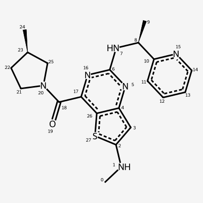 CNc1cc2nc(N[C@@H](C)c3ccccn3)nc(C(=O)N3CC[C@@H](C)C3)c2s1